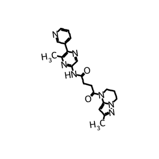 Cc1cc2n(n1)CCCN2C(=O)CCC(=O)Nc1cnc(-c2cccnc2)c(C)n1